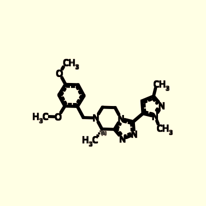 COc1ccc(CN2CCn3c(-c4cc(C)nn4C)nnc3[C@@H]2C)c(OC)c1